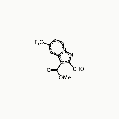 COC(=O)c1c(C=O)nn2ccc(C(F)(F)F)cc12